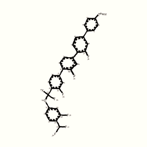 CCCCCc1ccc(-c2ccc(-c3ccc(-c4ccc(C(F)(F)Oc5ccc(C(F)F)c(F)c5)c(F)c4)c(F)c3)c(F)c2)cc1